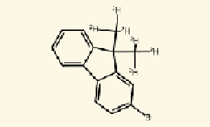 [2H]C([2H])([2H])C1(C([2H])([2H])[2H])c2ccccc2-c2ccc(Br)cc21